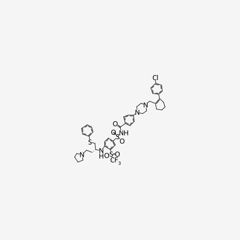 O=C(NS(=O)(=O)c1ccc(N[C@H](CCN2CCCC2)CSc2ccccc2)c(S(=O)(=O)C(F)(F)F)c1)c1ccc(N2CCN(CC3=C(c4ccc(Cl)cc4)CCCC3)CC2)cc1